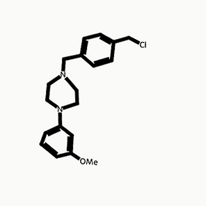 COc1cccc(N2CCN(Cc3ccc(CCl)cc3)CC2)c1